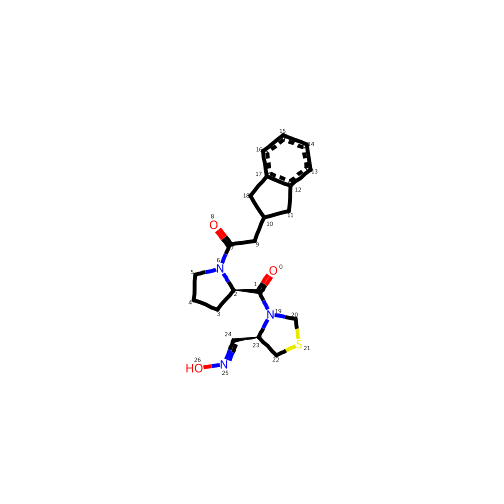 O=C([C@H]1CCCN1C(=O)CC1Cc2ccccc2C1)N1CSC[C@H]1C=NO